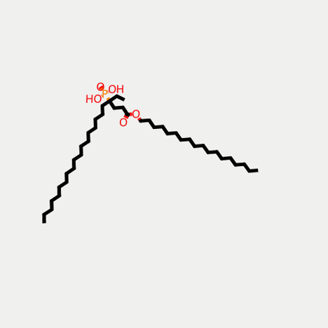 CCCCCCCCCCCCCCCCCCOC(=O)CCC(CC)(CCCCCCCCCCCCCCCCCC)P(=O)(O)O